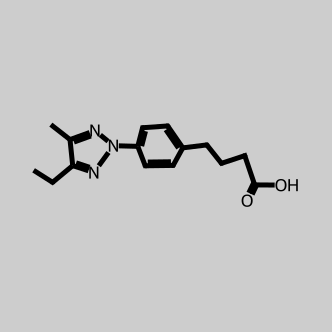 CCc1nn(-c2ccc(CCCC(=O)O)cc2)nc1C